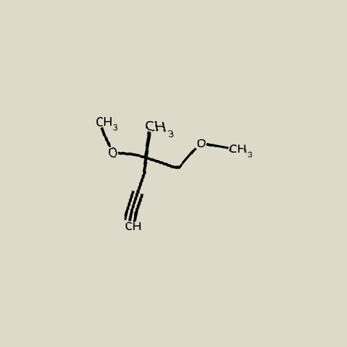 C#CC(C)(COC)OC